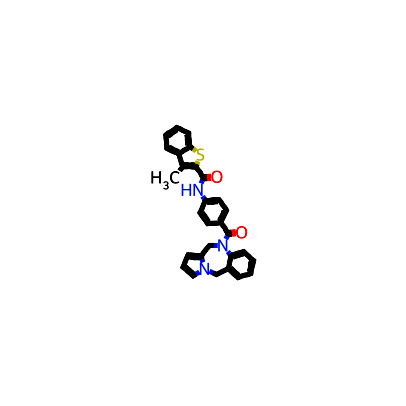 Cc1c(C(=O)Nc2ccc(C(=O)N3Cc4cccn4Cc4ccccc43)cc2)sc2ccccc12